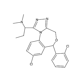 CCC(c1nnc2n1-c1ccc(Cl)cc1C(c1ccccc1Cl)OC2)N(C)C